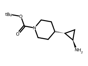 CC(C)(C)OC(=O)N1CCC([C@@H]2C[C@H]2N)CC1